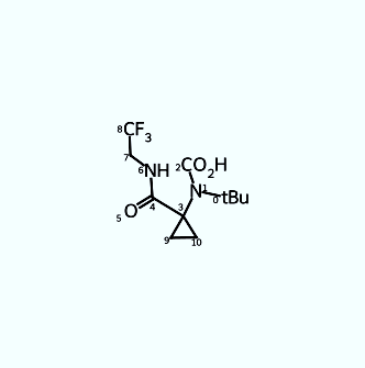 CC(C)(C)N(C(=O)O)C1(C(=O)NCC(F)(F)F)CC1